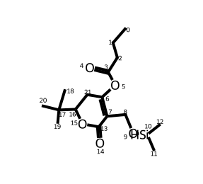 CCCC(=O)OC1=C(CO[SiH](C)C)C(=O)OC(C(C)(C)C)C1